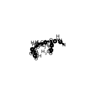 Cn1cc(-c2ccc(N(C(=O)NCc3ccc(C(C)(C)OCC(C)(C)NC(=O)COc4cccc5c4C(=O)N(C4CCC(=O)NC4=O)C5=O)cc3)C3CCC(Nc4ccc(C#N)cn4)CC3)cc2)ccc1=O